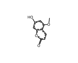 COc1cc(O)cc2oc(=O)ccc12